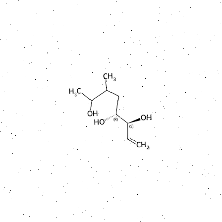 C=C[C@H](O)[C@H](O)CC(C)C(C)O